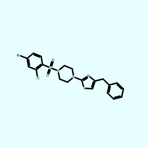 O=S(=O)(c1ccc(Br)cc1Cl)N1CCN(c2nc(Cc3ccccc3)cs2)CC1